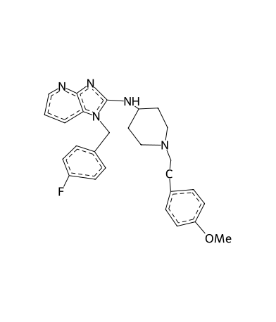 COc1ccc(CCN2CCC(Nc3nc4ncccc4n3Cc3ccc(F)cc3)CC2)cc1